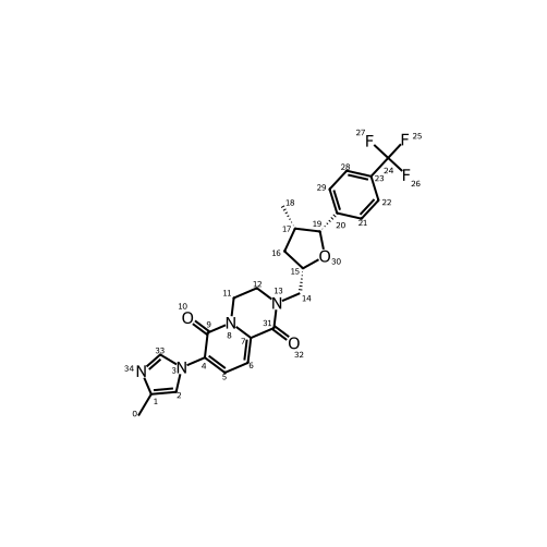 Cc1cn(-c2ccc3n(c2=O)CCN(C[C@@H]2C[C@H](C)[C@H](c4ccc(C(F)(F)F)cc4)O2)C3=O)cn1